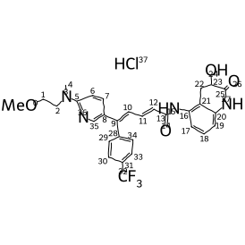 COCCN(C)c1ccc(C(=CC=CC(=O)Nc2cccc3c2CC(O)C(=O)N3)c2ccc(C(F)(F)F)cc2)cn1.Cl